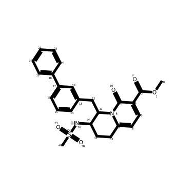 COC(=O)c1ccc2n(c1=O)C(Cc1cccc(-c3ccccc3)c1)C(NS(C)(=O)=O)CC2